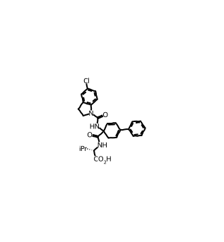 CC(C)[C@H](NC(=O)C1(NC(=O)N2CCc3cc(Cl)ccc32)C=CC(c2ccccc2)=CC1)C(=O)O